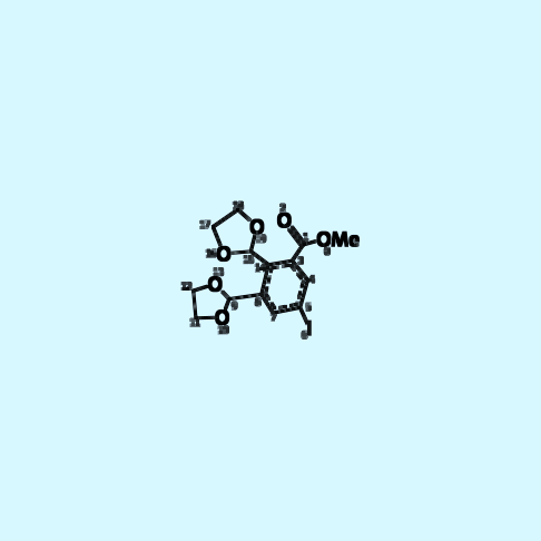 COC(=O)c1cc(I)cc(C2OCCO2)c1C1OCCO1